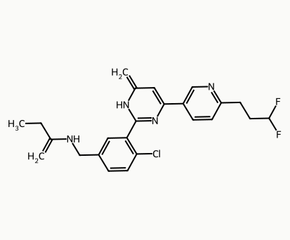 C=C1C=C(c2ccc(CCC(F)F)nc2)N=C(c2cc(CNC(=C)CC)ccc2Cl)N1